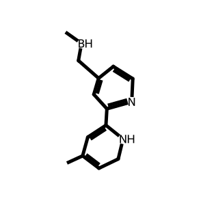 CBCc1ccnc(C2=CC(C)=CCN2)c1